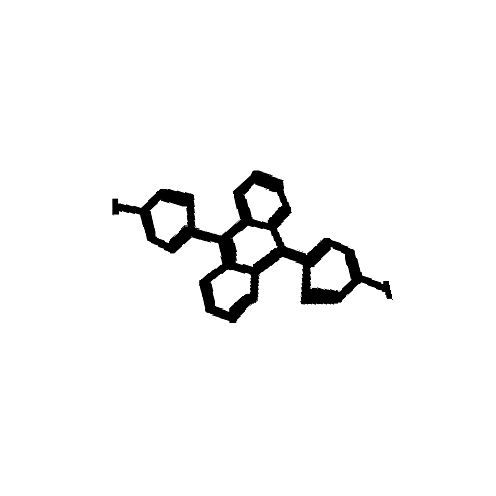 Ic1ccc(-c2c3ccccc3c(-c3ccc(I)cc3)c3ccccc23)cc1